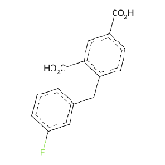 O=C(O)c1ccc(Cc2cccc(F)c2)c(C(=O)O)c1